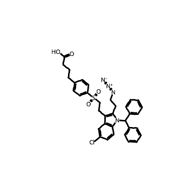 [N-]=[N+]=NCCc1c(CCS(=O)(=O)c2ccc(CCCC(=O)O)cc2)c2cc(Cl)ccc2n1C(c1ccccc1)c1ccccc1